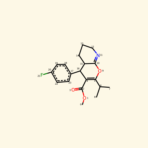 COC(=O)C1=C(C(C)C)OC2=NCCCC2C1c1ccc(F)cc1